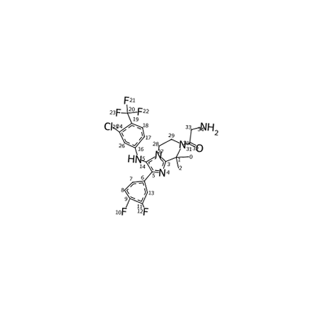 CC1(C)c2nc(-c3ccc(F)c(F)c3)c(Nc3ccc(C(F)(F)F)c(Cl)c3)n2CCN1C(=O)CN